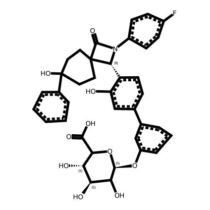 O=C(O)C1O[C@@H](Oc2cccc(-c3ccc([C@H]4N(c5ccc(F)cc5)C(=O)C45CCC(O)(c4ccccc4)CC5)c(O)c3)c2)C(O)[C@@H](O)[C@@H]1O